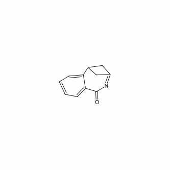 O=C1N=C2CC(C2)c2ccccc21